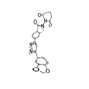 O=C1c2ccc(-n3cc(-c4ccc5c(c4)OCO5)nn3)cc2CN1N1C(=O)CCCC1=O